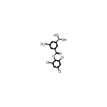 O=C(Oc1c(Cl)cc(Cl)cc1Cl)c1cc(B(O)O)cc([N+](=O)[O-])c1